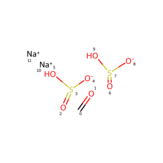 C=O.O=S([O-])O.O=S([O-])O.[Na+].[Na+]